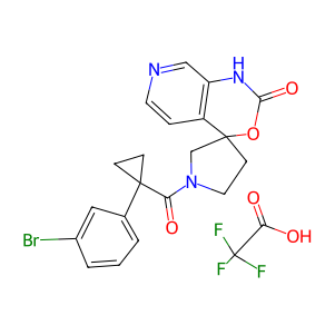 O=C(O)C(F)(F)F.O=C1Nc2cnccc2C2(CCN(C(=O)C3(c4cccc(Br)c4)CC3)C2)O1